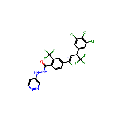 O=C(NNc1ccnnc1)c1ccc(/C(F)=C/C(c2cc(Cl)c(Cl)c(Cl)c2)C(F)(F)F)cc1C(F)(F)F